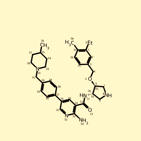 CCc1cc(CO[C@H]2CNC[C@@H]2NC(=O)c2cc(-c3ccc(CN4CCC(C)CC4)cc3)cnc2N)ccc1C